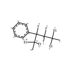 CCC(C)(CC)C(F)(F)C(F)(c1ccccc1)C(C)(CC)CC